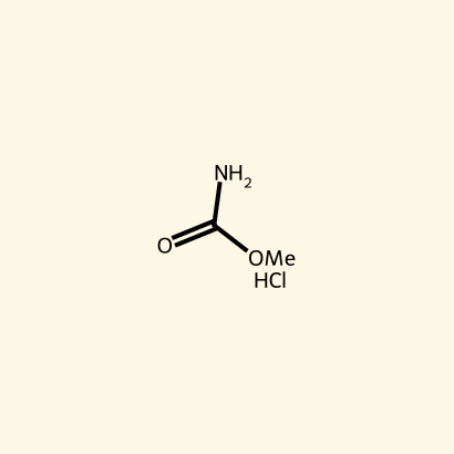 COC(N)=O.Cl